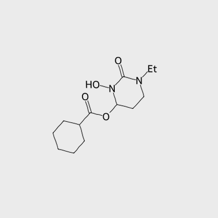 CCN1CCC(OC(=O)C2CCCCC2)N(O)C1=O